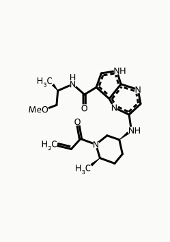 C=CC(=O)N1C[C@@H](Nc2cnc3[nH]cc(C(=O)N[C@H](C)COC)c3n2)CC[C@H]1C